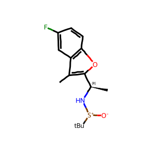 Cc1c([C@@H](C)N[S+]([O-])C(C)(C)C)oc2ccc(F)cc12